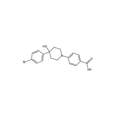 CCCC(=O)c1ccc(N2CCC(O)(c3ccc(Br)cc3)CC2)cc1